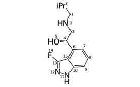 CC(C)CNC[C@H](O)c1cccc2[nH]nc(F)c12